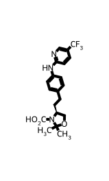 CC1(C)OC[C@H](CCc2ccc(Nc3ccc(C(F)(F)F)cn3)cc2)N1C(=O)O